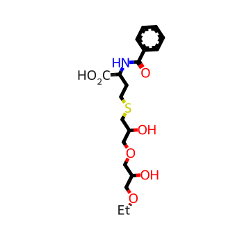 CCOCC(O)COCC(O)CSCCC(NC(=O)c1ccccc1)C(=O)O